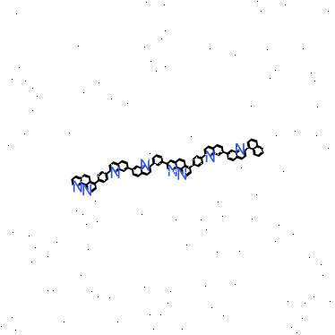 c1cc(-c2cnc3c(ccc4c(-c5ccc(-c6ccc7ccc(-c8ccc9ccc(-c%10cccc%11ccccc%10%11)nc9c8)cc7n6)cc5)ccnc43)c2)cc(-c2ccc3ccc(-c4ccc5ccc(-c6ccc(-c7ccnc8c7ccc7cccnc78)cc6)nc5c4)cc3n2)c1